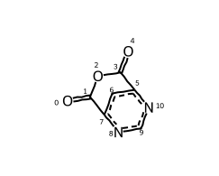 O=C1OC(=O)c2cc1ncn2